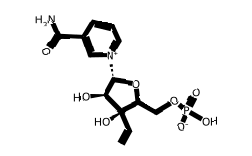 C=C[C@@]1(O)C(COP(=O)([O-])O)O[C@@H]([n+]2cccc(C(N)=O)c2)[C@@H]1O